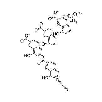 CC.N#CC#N.O=C([O-])c1ccc2cccc(O)c2n1.O=C([O-])c1ccc2cccc(O)c2n1.O=C([O-])c1ccc2cccc(O)c2n1.O=C([O-])c1ccc2cccc(O)c2n1.[Cu+2].[SH4+2]